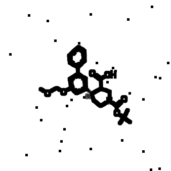 COCOc1cc(-c2ccccc2)cc([C@H]2CCN(C(=O)OC(C)(C)C)CC2C(=O)O)c1